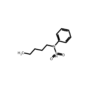 CCCCCN(c1ccccc1)[SH](=O)=O